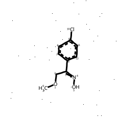 COCC(=NO)c1ccc(Cl)cc1